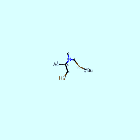 CCC(C)SCN(C)[C@@H](CS)C(C)=O